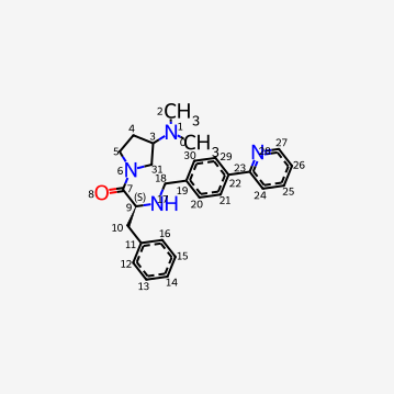 CN(C)C1CCN(C(=O)[C@H](Cc2ccccc2)NCc2ccc(-c3ccccn3)cc2)C1